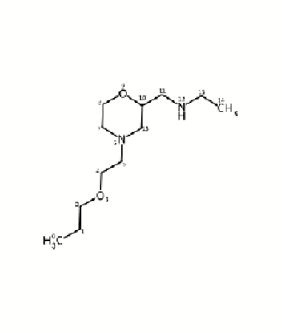 CCCOCCN1CCOC(CNCC)C1